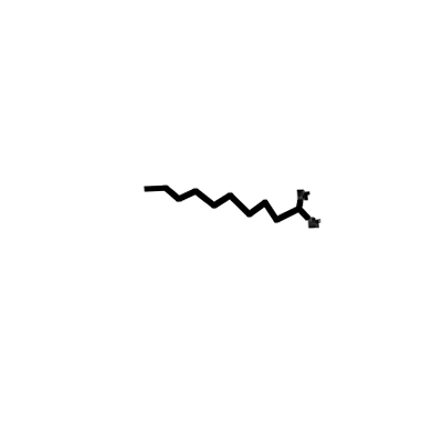 CCCCCCCCCC(Br)Br